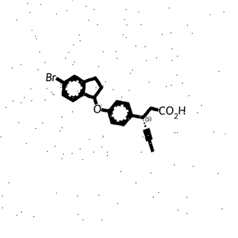 CC#C[C@@H](CC(=O)O)c1ccc(OC2CCc3cc(Br)ccc32)cc1